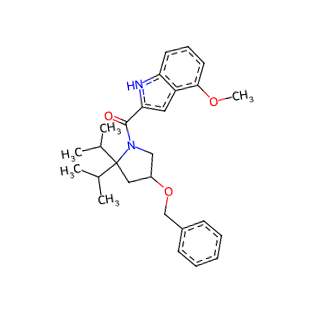 COc1cccc2[nH]c(C(=O)N3CC(OCc4ccccc4)CC3(C(C)C)C(C)C)cc12